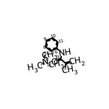 C=C(C)C(=O)Nc1ccccc1.CN(C)C